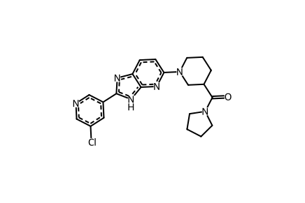 O=C(C1CCCN(c2ccc3nc(-c4cncc(Cl)c4)[nH]c3n2)C1)N1CCCC1